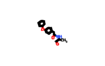 C[C@@H]([C]=O)NC(=O)Cc1ccc(Oc2ccccc2)cc1